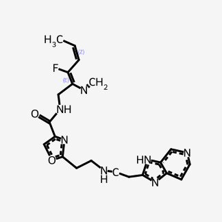 C=N/C(CNC(=O)c1coc(CCNCCc2nc3ccncc3[nH]2)n1)=C(F)\C=C/C